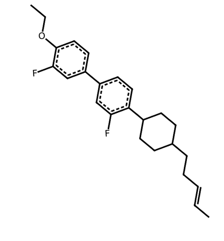 C/C=C/CCC1CCC(c2ccc(-c3ccc(OCC)c(F)c3)cc2F)CC1